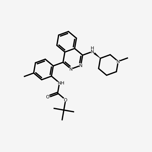 Cc1ccc(-c2nnc(N[C@@H]3CCCN(C)C3)c3ccccc23)c(NC(=O)OC(C)(C)C)c1